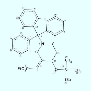 CCOC(=O)/C=C1\CN(C(c2ccccc2)(c2ccccc2)c2ccccc2)CCC1O[Si](C)(C)C(C)(C)C